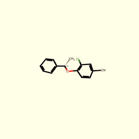 C[C@H](Oc1ccc(C#N)cc1Cl)c1ccccc1